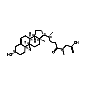 C[C@H](CCC(=O)N(C)CC(=O)O)[C@H]1CC[C@H]2[C@@H]3CC=C4C[C@@H](O)CC[C@]4(C)[C@H]3CC[C@]12C